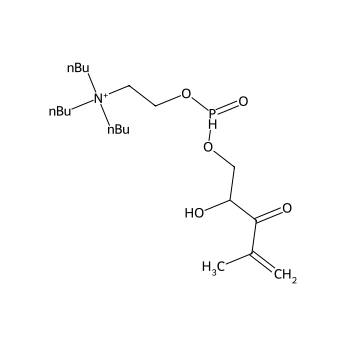 C=C(C)C(=O)C(O)CO[PH](=O)OCC[N+](CCCC)(CCCC)CCCC